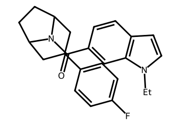 CCn1ccc2ccc(C(=O)N3C4CCC3CC(c3ccc(F)cc3)C4)cc21